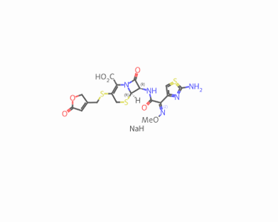 CO/N=C(\C(=O)N[C@@H]1C(=O)N2C(C(=O)O)=C(SCC3=CC(=O)OC3)CS[C@H]12)c1csc(N)n1.[NaH]